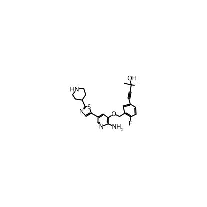 CC(C)(O)C#Cc1ccc(F)c(COc2cc(-c3cnc(C4CCNCC4)s3)cnc2N)c1